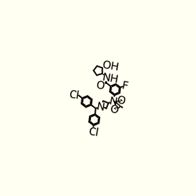 CS(=O)(=O)N(c1cc(F)cc(C(=O)N[C@H]2CCC[C@@H]2O)c1)C1CN(C(c2ccc(Cl)cc2)c2ccc(Cl)cc2)C1